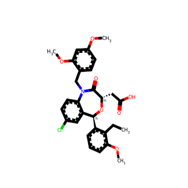 CCc1c(OC)cccc1[C@@H]1O[C@@H](CC(=O)O)C(=O)N(Cc2ccc(OC)cc2OC)c2ccc(Cl)cc21